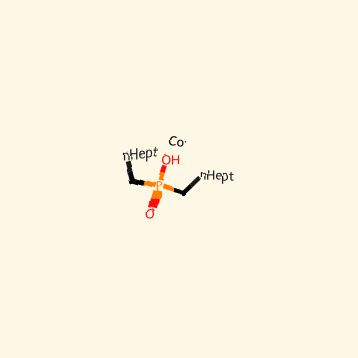 CCCCCCCCP(=O)(O)CCCCCCCC.[Co]